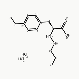 CCCNN[C@@H](Cc1ccc(CC)cc1)C(=O)O.Cl.Cl